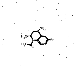 CC(=O)N1C2=CC=C(Br)CC2[C@H](N)C[C@@H]1C